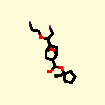 CCC1(OC(O)C2CC3OC2CC3C(CI)OCCI)CCCC1